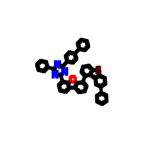 c1ccc(-c2ccc(-c3nc(-c4ccccc4)nc(-c4cccc5c4oc4c(-c6cccc7sc8ccc(-c9ccccc9)cc8c67)cccc45)n3)cc2)cc1